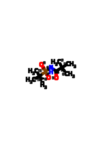 CC(C)(C)C(=O)NS(=O)(=O)C(C)(C)C